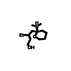 [CH2]CC(CCO)CC1([SiH](C)C)CCCCO1